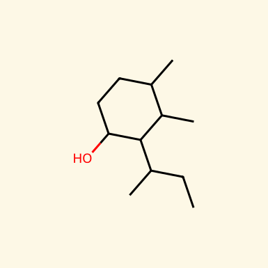 CCC(C)C1C(O)CCC(C)C1C